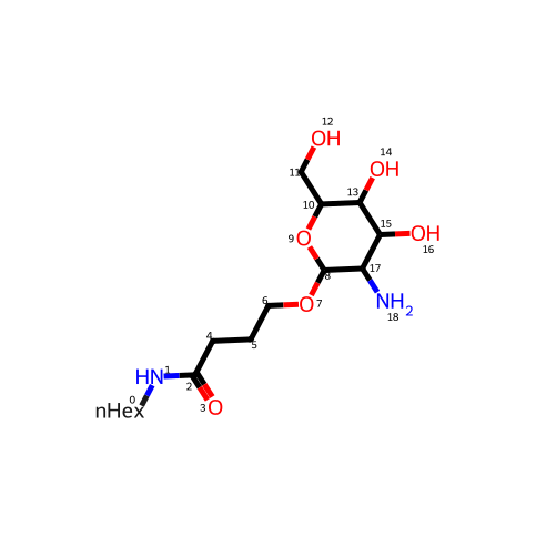 CCCCCCNC(=O)CCCOC1OC(CO)C(O)C(O)C1N